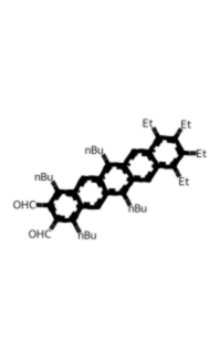 CCCCc1c(C=O)c(C=O)c(CCCC)c2cc3c(CCCC)c4cc5c(CC)c(CC)c(CC)c(CC)c5cc4c(CCCC)c3cc12